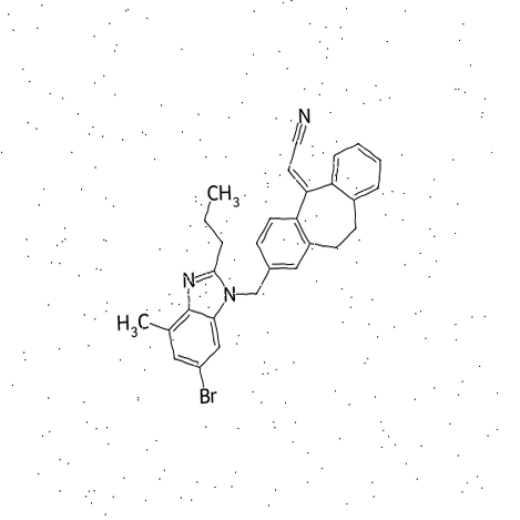 CCCc1nc2c(C)cc(Br)cc2n1Cc1ccc2c(c1)CCc1ccccc1C2=CC#N